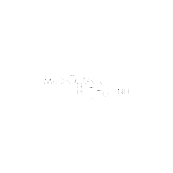 COc1cccc(Nc2cc3c(C4CC4)c(OC4CCNCC4)ccc3cn2)c1